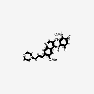 COc1cc(Nc2c(C#N)cnc3cc(C=CCN4CCOCC4)c(OC)cc23)c(Cl)cc1Cl